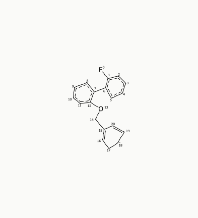 Fc1ccccc1-c1ccccc1OCC1=CC[CH]C=C1